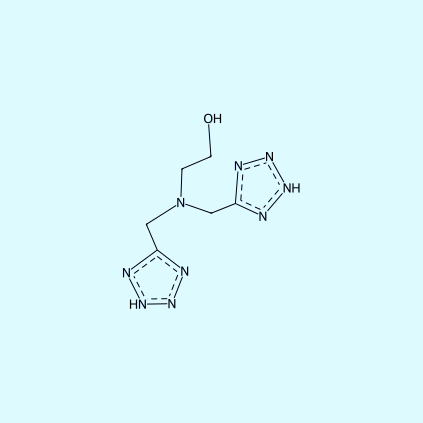 OCCN(Cc1nn[nH]n1)Cc1nn[nH]n1